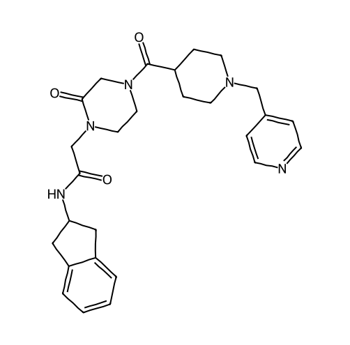 O=C(CN1CCN(C(=O)C2CCN(Cc3ccncc3)CC2)CC1=O)NC1Cc2ccccc2C1